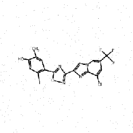 Cc1cc(-c2nc(-c3cn4cc(C(F)(F)F)cc(Cl)c4n3)no2)c(I)cc1O